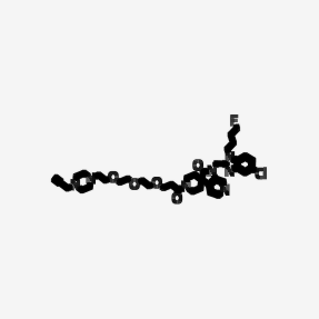 C#CCN1CCN(CCOCCOCCOCCC(=O)N2CCC3(CC2)C(=O)N(Cc2nc4cc(Cl)ccc4n2CCCCF)c2cnccc23)CC1